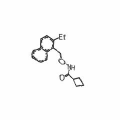 CCc1ccc2ccccc2c1CONC(=O)C1CCC1